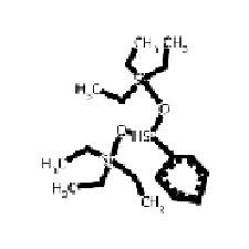 CC[Si](CC)(CC)O[SiH](O[Si](CC)(CC)CC)c1ccccc1